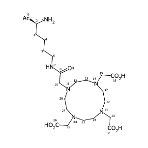 CC(=O)[C@@H](N)CCCCNC(=O)CN1CCN(CC(=O)O)CCN(CC(=O)O)CCN(CC(=O)O)CC1